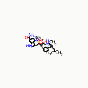 CC(C)CCCC(C)(C)NC[C@H](O)[C@H](Cc1ccccc1)C1Cc2c[nH]c3cc(C(N)=O)cc(c23)N(C)S1(=O)=O